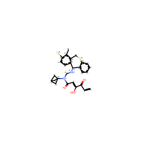 C=CC(=O)/C(O)=C/C(=O)N(CN[C@@H]1c2ccccc2SCc2c1ccc(F)c2C)C12CC(C1)C2